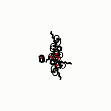 C1C2CC3CC1CC(C2)C3.CCCCCCC(OC(C)=O)C(=O)c1cccc(C(=O)OOC(=O)c2cccc(C(=O)C(CCCCCC)OC(C)=O)c2C(=O)C(CCCCCC)OC(C)=O)c1C(=O)C(CCCCCC)OC(C)=O